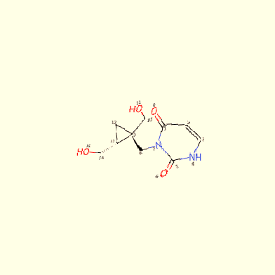 O=c1cc[nH]c(=O)n1C[C@]1(CO)C[C@H]1CO